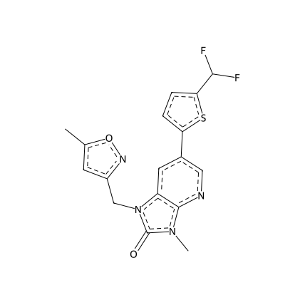 Cc1cc(Cn2c(=O)n(C)c3ncc(-c4ccc(C(F)F)s4)cc32)no1